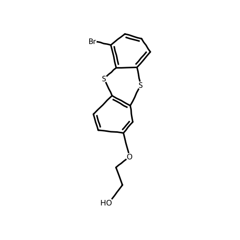 OCCOc1ccc2c(c1)Sc1cccc(Br)c1S2